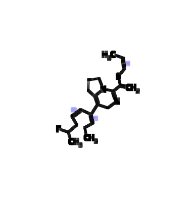 C=C(S/C=C\C)C1=NCC(C(/C=C\CC(C)F)=C/CC)=C2CCCN12